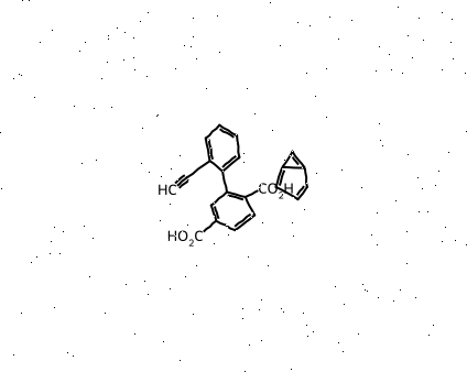 C#Cc1ccccc1-c1cc(C(=O)O)ccc1C(=O)O.c1cc2cc-2c1